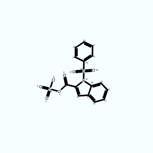 O=C(OS(=O)(=O)Cl)c1cc2ccccc2n1S(=O)(=O)c1ccccc1